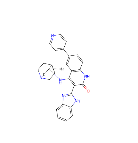 O=c1[nH]c2ccc(-c3ccncc3)cc2c(N[C@H]2CN3CCC2CC3)c1-c1nc2ccccc2[nH]1